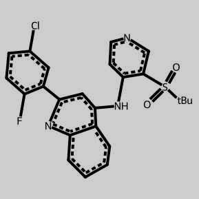 CC(C)(C)S(=O)(=O)c1cnccc1Nc1cc(-c2cc(Cl)ccc2F)nc2ccccc12